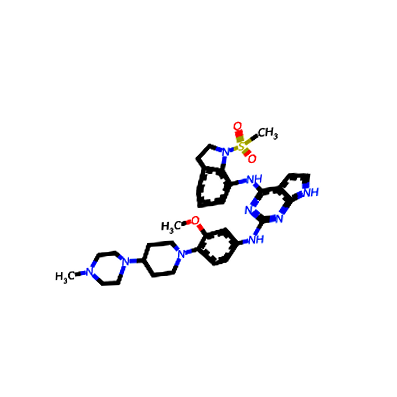 COc1cc(Nc2nc(Nc3cccc4c3N(S(C)(=O)=O)CC4)c3cc[nH]c3n2)ccc1N1CCC(N2CCN(C)CC2)CC1